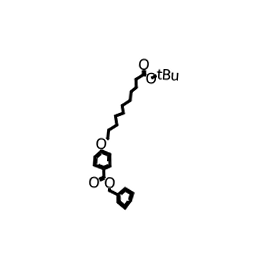 CC(C)(C)OC(=O)CCCCCCCCCCOc1ccc(C(=O)OCc2ccccc2)cc1